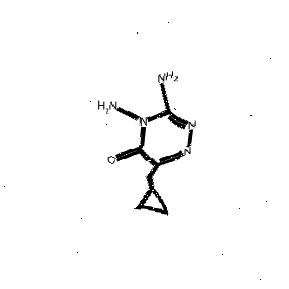 Nc1nnc(C2CC2)c(=O)n1N